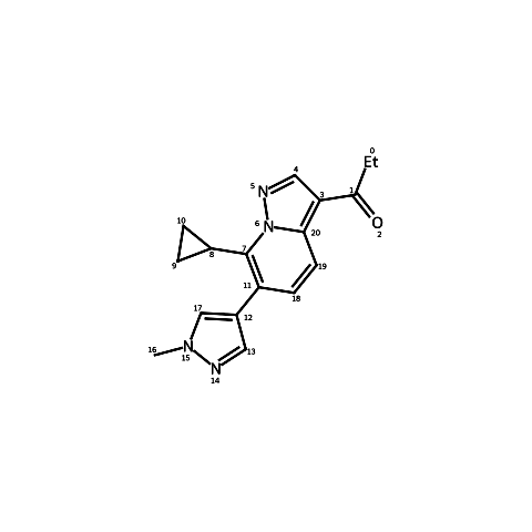 CCC(=O)c1cnn2c(C3CC3)c(-c3cnn(C)c3)ccc12